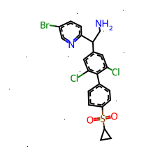 NCC(c1cc(Cl)c(-c2ccc(S(=O)(=O)C3CC3)cc2)c(Cl)c1)c1ccc(Br)cn1